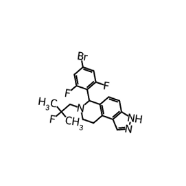 CC(C)(F)CN1CCc2c(ccc3[nH]ncc23)C1c1c(F)cc(Br)cc1F